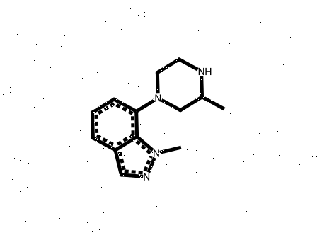 CC1CN(c2cccc3cnn(C)c23)CCN1